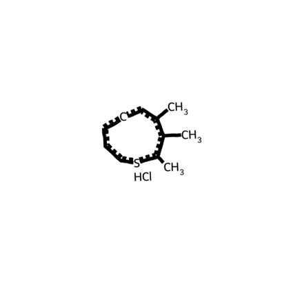 Cc1cccccsc(C)c1C.Cl